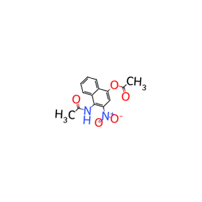 CC(=O)Nc1c([N+](=O)[O-])cc(OC(C)=O)c2ccccc12